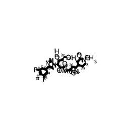 CO[C@@H]1[C@@H](n2cc(-c3cc(F)c(F)c(F)c3)nn2)[C@@H](O)[C@@H](CO)O[C@@H]1CC1CC(C2CCN(C)C(=O)C2)=NO1